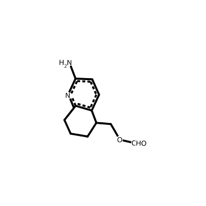 Nc1ccc2c(n1)CCCC2COC=O